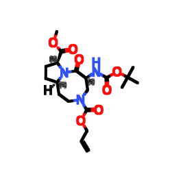 C=CCOC(=O)N1CC[C@H]2CC[C@@H](C(=O)OC)N2C(=O)[C@@H](NC(=O)OC(C)(C)C)C1